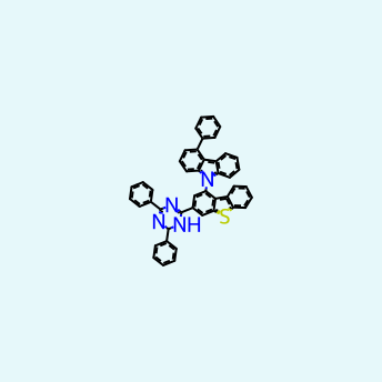 c1ccc(C2=NC(c3ccccc3)NC(c3cc(-n4c5ccccc5c5c(-c6ccccc6)cccc54)c4c(c3)sc3ccccc34)=N2)cc1